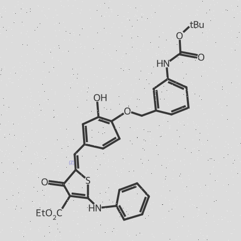 CCOC(=O)C1=C(Nc2ccccc2)S/C(=C\c2ccc(OCc3cccc(NC(=O)OC(C)(C)C)c3)c(O)c2)C1=O